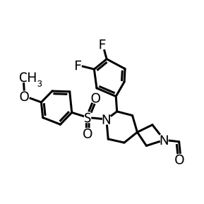 COc1ccc(S(=O)(=O)N2CCC3(CC2c2ccc(F)c(F)c2)CN(C=O)C3)cc1